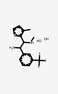 CNC(c1sccc1C)C(N)c1cccc(C(F)(F)F)c1.Cl.Cl